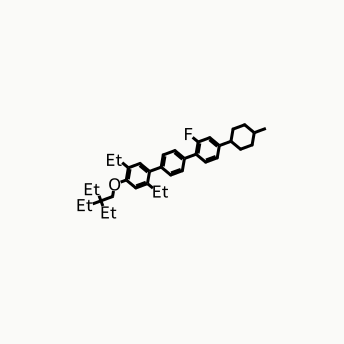 CCc1cc(-c2ccc(-c3ccc(C4CCC(C)CC4)cc3F)cc2)c(CC)cc1OCC(CC)(CC)CC